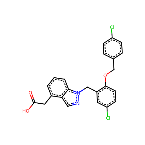 O=C(O)Cc1cccc2c1cnn2Cc1cc(Cl)ccc1OCc1ccc(Cl)cc1